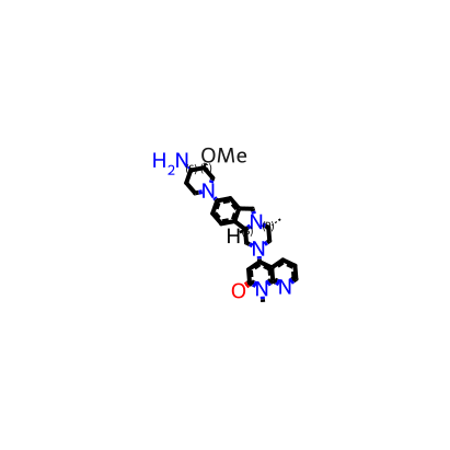 CO[C@H]1CN(c2ccc3c(c2)CN2[C@H](C)CN(c4cc(=O)n(C)c5ncccc45)C[C@H]32)CC[C@@H]1N